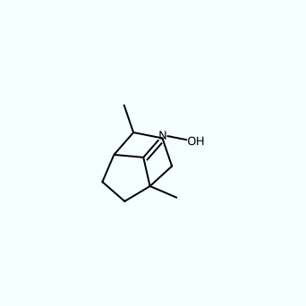 CC1CCC2(C)CCC1C2=NO